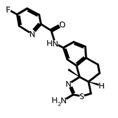 C[C@]12N=C(N)SC[C@H]1CCc1ccc(NC(=O)c3ccc(F)cn3)cc12